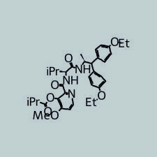 CCOc1ccc(C(c2ccc(OCC)cc2)[C@H](C)NC(=O)[C@@H](NC(=O)c2nccc(OC)c2OC(=O)C(C)C)C(C)C)cc1